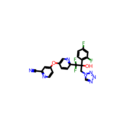 N#Cc1cc(Oc2ccc(C(F)(F)C(O)(Cn3cnnn3)c3ccc(F)cc3F)nc2)ccn1